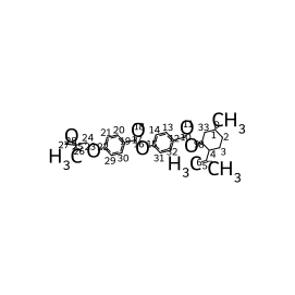 CC1CCC(C(C)C)C(OC(=O)c2ccc(OC(=O)c3ccc(OCC4(C)CO4)cc3)cc2)C1